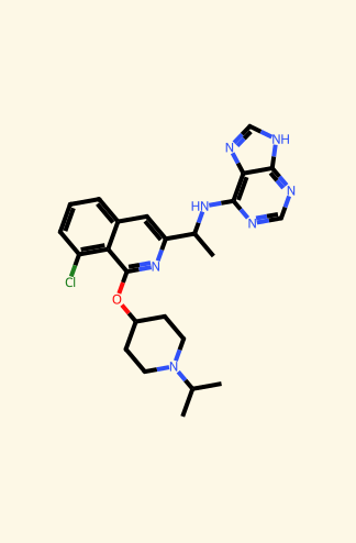 CC(Nc1ncnc2[nH]cnc12)c1cc2cccc(Cl)c2c(OC2CCN(C(C)C)CC2)n1